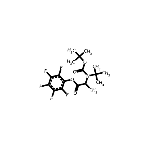 CC(C(=O)Oc1c(F)c(F)c(F)c(F)c1F)N(C(=O)OC(C)(C)C)C(C)(C)C